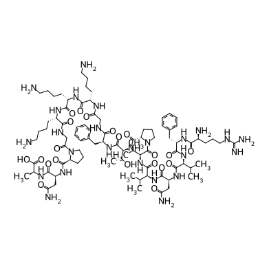 CC(C)[C@H](NC(=O)[C@H](Cc1ccccc1)NC(=O)[C@@H](N)CCCNC(=N)N)C(=O)N[C@@H](CC(N)=O)C(=O)N[C@H](C(=O)N[C@H](C(=O)N1CCC[C@H]1C(=O)N[C@H](C(=O)N[C@@H](Cc1ccccc1)C(=O)NCC(=O)N[C@@H](CCCCN)C(=O)N[C@@H](CCCCN)C(=O)N[C@@H](CCCCN)C(=O)NCC(=O)N1CCC[C@H]1C(=O)N[C@@H](CC(N)=O)C(=O)N[C@@H](C)C(=O)O)[C@@H](C)O)C(C)C)C(C)C